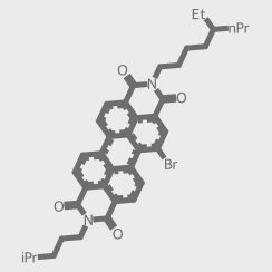 CCCC(CC)CCCCN1C(=O)c2ccc3c4ccc5c6c(ccc(c7c(Br)cc(c2c37)C1=O)c64)C(=O)N(CCCC(C)C)C5=O